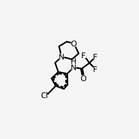 O=C(Nc1ccc(Cl)cc1CN1CCOCC1)C(F)(F)F